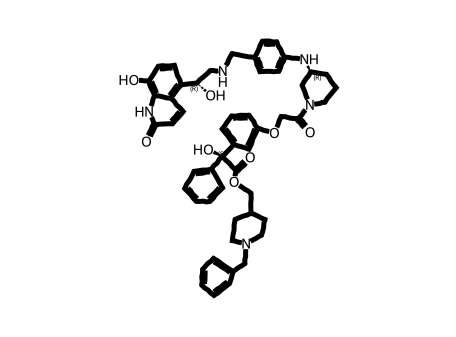 O=C(COc1cccc([C@](O)(C(=O)OCC2CCN(Cc3ccccc3)CC2)c2ccccc2)c1)N1CCC[C@@H](Nc2ccc(CNC[C@H](O)c3ccc(O)c4[nH]c(=O)ccc34)cc2)C1